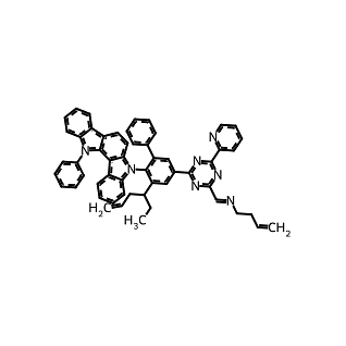 C=CCC/N=C/c1nc(-c2cc(-c3ccccc3)c(-n3c4ccccc4c4c3ccc3c5ccccc5n(-c5ccccc5)c34)c(C(CC)CC=C)c2)nc(-c2ccccn2)n1